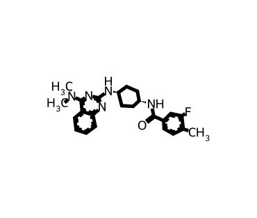 Cc1ccc(C(=O)N[C@H]2CC[C@@H](Nc3nc(N(C)C)c4ccccc4n3)CC2)cc1F